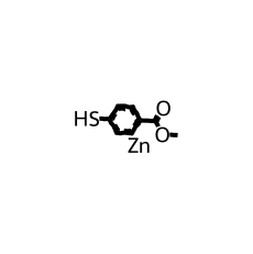 COC(=O)c1ccc(S)cc1.[Zn]